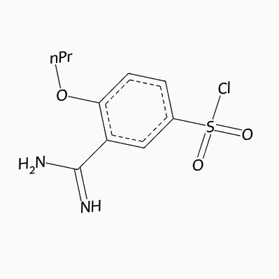 CCCOc1ccc(S(=O)(=O)Cl)cc1C(=N)N